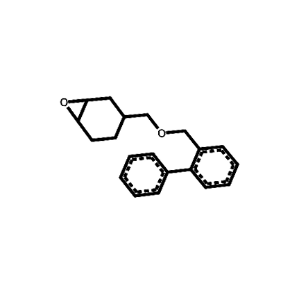 c1ccc(-c2ccccc2COCC2CCC3OC3C2)cc1